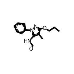 CCCOc1nn(-c2ccccc2)c(NC=O)c1C